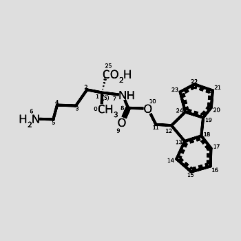 C[C@@](CCCCN)(NC(=O)OCC1c2ccccc2-c2ccccc21)C(=O)O